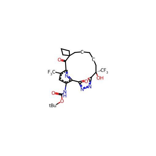 CC(C)(C)OC(=O)Nc1cc(C(F)(F)F)c2nc1-c1nnc(o1)[C@@](O)(C(F)(F)F)CCCCCC1(CCC1)C2=O